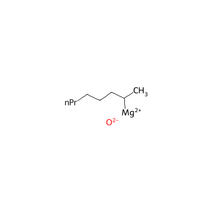 CCCCCC[CH](C)[Mg+2].[O-2]